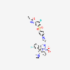 C=CC(=O)Nc1cc(F)cc(S(=O)(=O)c2ccc(N3CC(CN4CCC([C@@](CCN5CCC5)(c5cccc(F)c5)[C@H]5CCC[C@@H]5NC(=O)OC)CC4)C3)cc2)c1